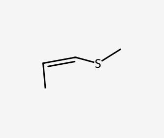 C/C=C\SC